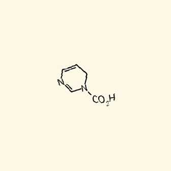 O=C(O)N1C=NC=CC1